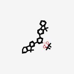 CC1(C)C2=C(CCC=C2)c2ccc(-c3cc(B4OC(C)(C)C(C)(C)O4)cc(-c4ccc5c(c4)C(C)(C)c4ccccc4-5)c3)cc21